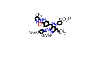 C=CCc1cnc(NCc2ccc(OC)cc2OC)c2c(-c3ccc(C(=O)Nc4cc(C(F)(F)F)ccn4)cc3)nn(C3CCCC(C(=O)O)C3)c12